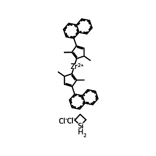 C1C[SiH2]C1.CC1=[C]([Zr+2][C]2=C(C)C(c3cccc4ccccc34)=CC2C)C(C)C=C1c1cccc2ccccc12.[Cl-].[Cl-]